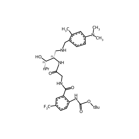 CCC[C@H](O)[C@H](CNCc1ccc(N(C)C)cc1C)NC(=O)CNC(=O)c1cc(C(F)(F)F)ccc1NC(=O)OC(C)(C)C